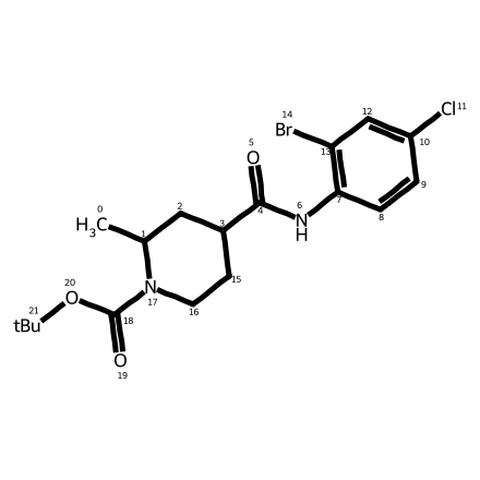 CC1CC(C(=O)Nc2ccc(Cl)cc2Br)CCN1C(=O)OC(C)(C)C